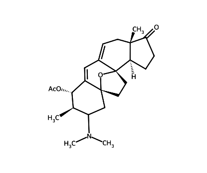 CC(=O)O[C@@H]1C2=CC3=CC[C@]4(C)C(=O)CC[C@H]4[C@@]34CC[C@]2(CC(N(C)C)[C@H]1C)O4